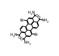 NC(=O)c1ccc2c3c(Br)cc(C(N)=O)c4c(C(N)=O)ccc(c5c(Br)cc(C(N)=O)c1c25)c43